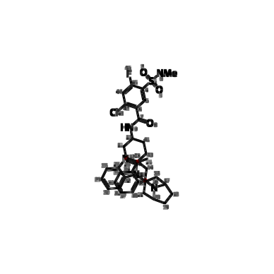 CNS(=O)(=O)c1cc(C(=O)NC2CCC(CCN3C4CCC3CC(n3c(C)nc5ccccc53)C4)(c3ccccc3)CC2)c(Cl)cc1F